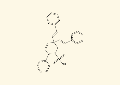 O=S(=O)(O)C1=C(c2ccccc2)C=CC(C=Cc2ccccc2)(C=Cc2ccccc2)C1